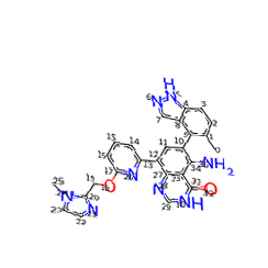 Cc1ccc2[nH]ncc2c1-c1cc(-c2cccc(OCc3nccn3C)n2)c2nc[nH]c(=O)c2c1N